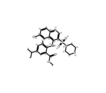 COC(=O)c1cc(C(C)C)cc(C)c1Nc1c(S(=O)(=O)N2CCOCC2)cnc2ccc(Cl)cc12